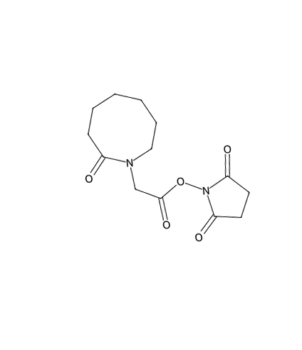 O=C(CN1CCCCCCC1=O)ON1C(=O)CCC1=O